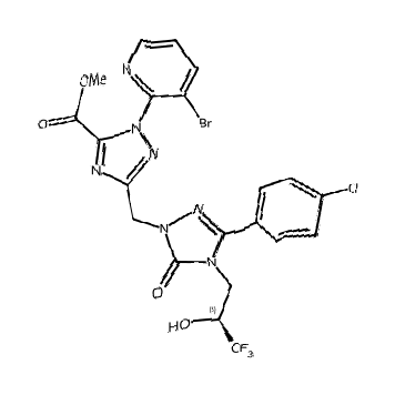 COC(=O)c1nc(Cn2nc(-c3ccc(Cl)cc3)n(C[C@H](O)C(F)(F)F)c2=O)nn1-c1ncccc1Br